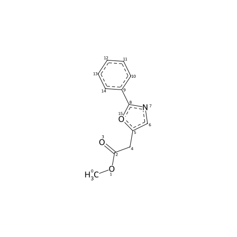 COC(=O)Cc1cnc(-c2ccccc2)o1